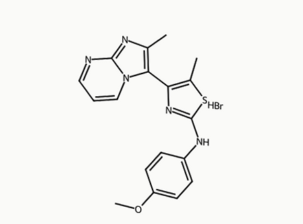 Br.COc1ccc(Nc2nc(-c3c(C)nc4ncccn34)c(C)s2)cc1